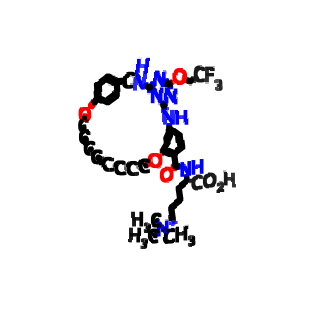 C[N+](C)(C)CCCC[C@H](NC(=O)c1ccc2cc1OCCCCCCCCOc1ccc(cc1)CNc1nc(nc(OCC(F)(F)F)n1)N2)C(=O)O